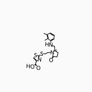 Cc1cccc(NC[C@H]2CCC(=O)N2CCSc2nc(C(=O)O)cs2)c1C